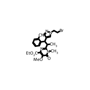 CCOC(=O)c1nc(C(C)C(c2cnn(CCBr)c2)c2ccccc2C#N)n(C)c(=O)c1OC